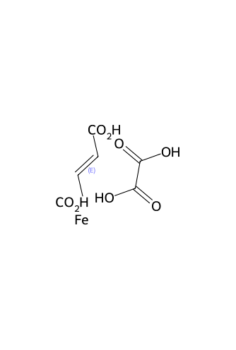 O=C(O)/C=C/C(=O)O.O=C(O)C(=O)O.[Fe]